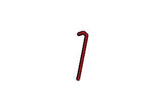 CCCOC(=O)OOOOOOOOOOOOOOOOOOOOOOOOOOOOOOOOOOOOOOOOOOOOOOOOOOOOOOOOOOOOOOOOOOOOOOOOOOOOOOOOOOOOOOOOOOOOOOOOOOOOOOOOOOOOOOOOOOOC(C)OOOOOOOOOOC(C)OOOOOOOOOOOO[O]